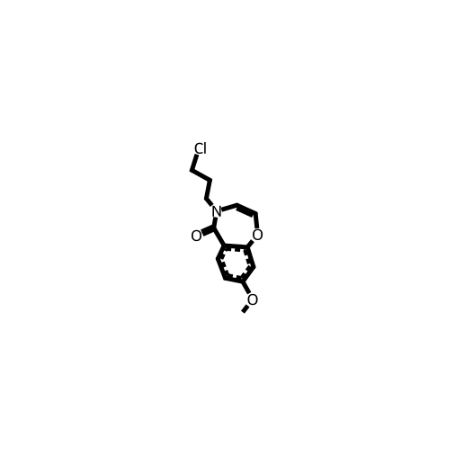 COc1ccc2c(c1)OC=CN(CCCCl)C2=O